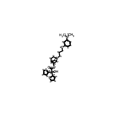 CN(C)c1cccc(OCCC[N+]23CCC(CC2)C(OC(=O)C(O)(c2cccs2)c2cccs2)C3)c1